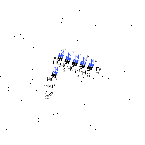 C#N.C#N.C#N.C#N.C#N.C#N.[Cd].[Fe].[KH]